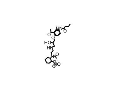 CCCC(=O)Nc1ccc(OCC(O)CNCCN(C(C)=O)C2CCCCC2O[N+](=O)[O-])c(C(C)=O)c1